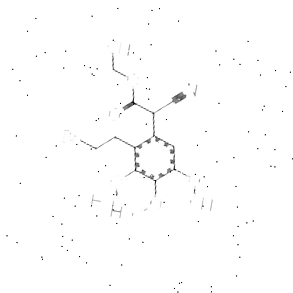 CCOC(=O)C(C#N)c1cc(OC)c(OC)c(OC)c1CCBr